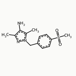 Cc1nn(Cc2ccc(S(C)(=O)=O)cc2)c(C)c1N